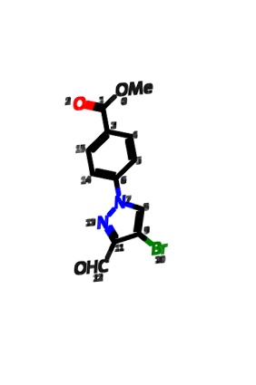 COC(=O)c1ccc(-n2cc(Br)c(C=O)n2)cc1